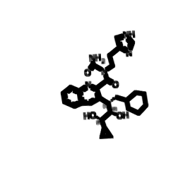 NC(=O)N(CCc1c[nH]cn1)C(=O)c1nc2ccccc2cc1[C@H](CC1CCCCC1)[C@@H](O)[C@@H](O)C1CC1